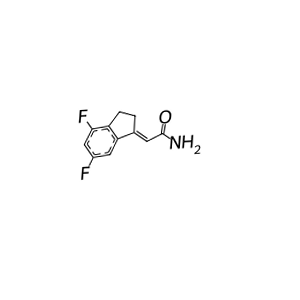 NC(=O)/C=C1\CCc2c(F)cc(F)cc21